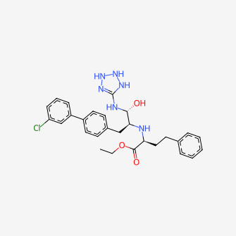 CCOC(=O)[C@H](CCc1ccccc1)N[C@@H](Cc1ccc(-c2cccc(Cl)c2)cc1)[C@@H](O)NC1=NNNN1